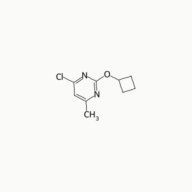 Cc1cc(Cl)nc(OC2CCC2)n1